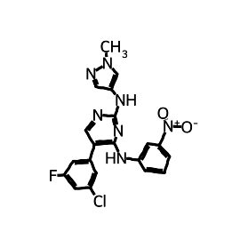 Cn1cc(Nc2ncc(-c3cc(F)cc(Cl)c3)c(Nc3cccc([N+](=O)[O-])c3)n2)cn1